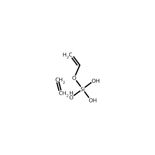 C=C.C=CO[Si](O)(O)O